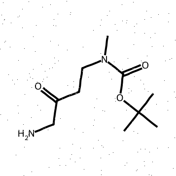 CN(CCC(=O)CN)C(=O)OC(C)(C)C